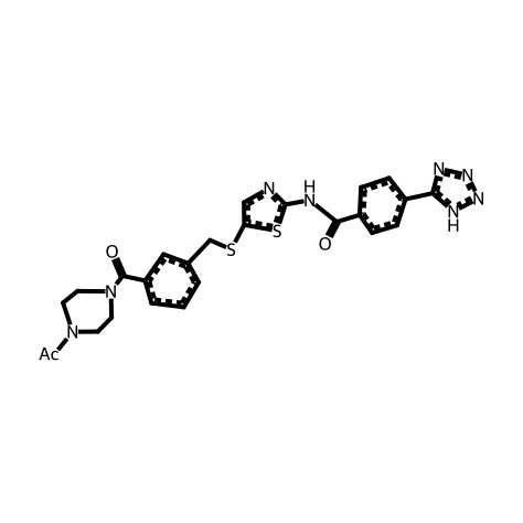 CC(=O)N1CCN(C(=O)c2cccc(CSc3cnc(NC(=O)c4ccc(-c5nnn[nH]5)cc4)s3)c2)CC1